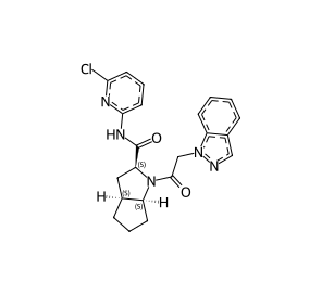 O=C(Nc1cccc(Cl)n1)[C@@H]1C[C@@H]2CCC[C@@H]2N1C(=O)Cn1ncc2ccccc21